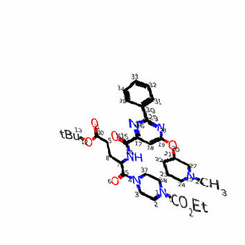 CCOC(=O)N1CCN(C(=O)C(CCC(=O)OC(C)(C)C)NC(=O)c2cc(OC3CCCN(C)C3)nc(-c3ccccc3)n2)CC1